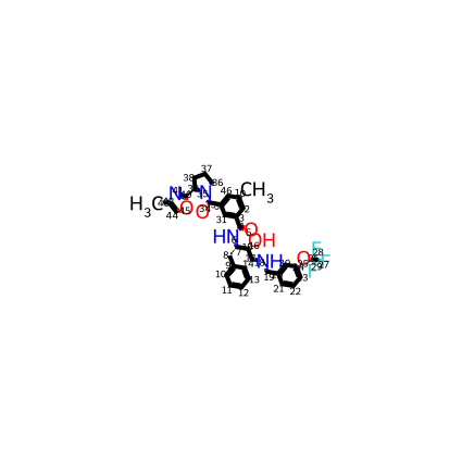 Cc1cc(C(=O)N[C@@H](Cc2ccccc2)[C@@H](O)CNCc2cccc(OC(F)(F)F)c2)cc(C(=O)N2CCC[C@@H]2c2nc(C)co2)c1